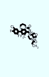 C=CC(=O)N1CCN(c2nc(=O)n3c4c(c(-c5cc(Cl)c(F)cc5F)c(C(F)(F)F)cc24)SCCC3)[C@@H]2COC[C@@H]21